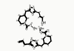 C=CCc1nc(CC2CCCN(C(=O)OC(C)(C)C)C2)no1.CC(C)(C)OC(=O)N1CCCC(Cc2noc(CCCO)n2)C1